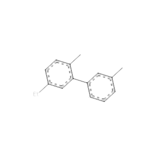 CCc1ccc(C)c(-c2[c]ccc(C)c2)c1